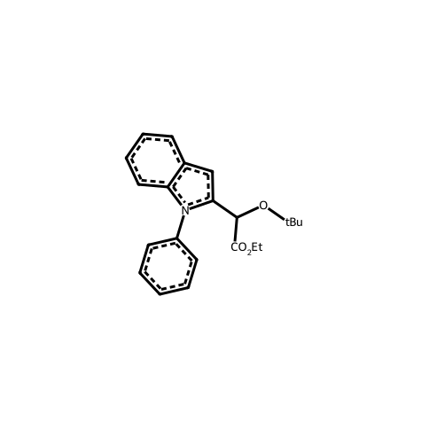 CCOC(=O)C(OC(C)(C)C)c1cc2ccccc2n1-c1ccccc1